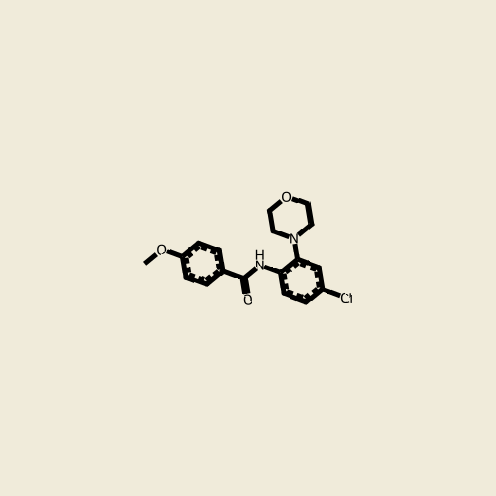 COc1ccc(C(=O)Nc2ccc(Cl)cc2N2CCOCC2)cc1